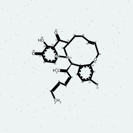 C=C(/C=C\C=C/C)[C@@H]1c2ccc(F)cc2OC/C=C/CCC2CN1n1ccc(=O)c(O)c1C2=O